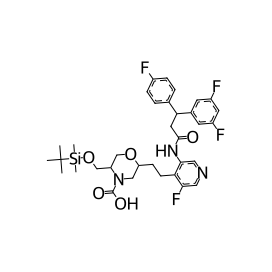 CC(C)(C)[Si](C)(C)OCC1COC(CCc2c(F)cncc2NC(=O)CC(c2ccc(F)cc2)c2cc(F)cc(F)c2)CN1C(=O)O